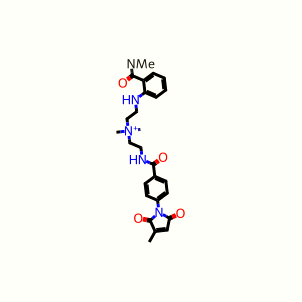 CNC(=O)c1ccccc1NCC[N+](C)(C)CCNC(=O)c1ccc(N2C(=O)C=C(C)C2=O)cc1